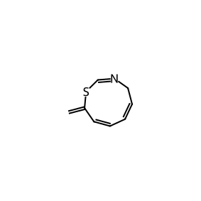 C=C1/C=C\C=C/C/N=C\S1